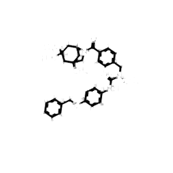 CN(Cc1ccc(C(=O)N2CC3(C)CC2CC(C)(C)C3)cc1)C(=O)Nc1ccc(OCc2ccccc2)cc1